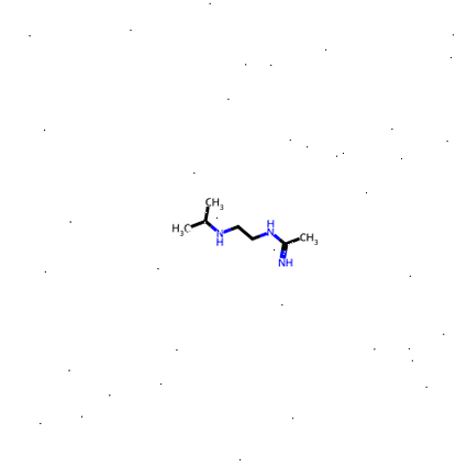 CC(=N)NCCNC(C)C